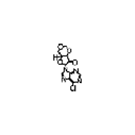 O=C1C2OCOC[C@H]2O[C@H]1n1cnc2c(Cl)ncnc21